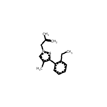 C=C(C)Cn1cc(C)c(-c2ccccc2CC)n1